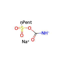 CCCCCS(=O)(=O)OC([NH-])=O.[Na+]